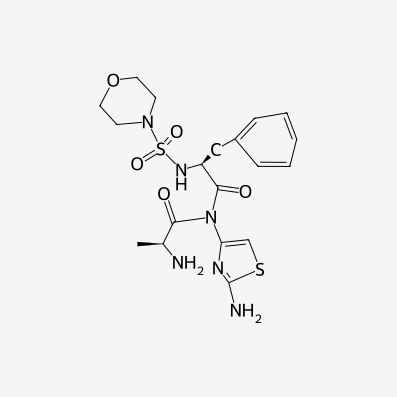 C[C@H](N)C(=O)N(C(=O)[C@H](Cc1ccccc1)NS(=O)(=O)N1CCOCC1)c1csc(N)n1